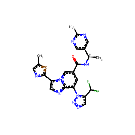 Cc1ncc([C@@H](C)NC(=O)c2cc(-n3nncc3C(F)F)c3ncc(-c4ncc(C)s4)n3c2)cn1